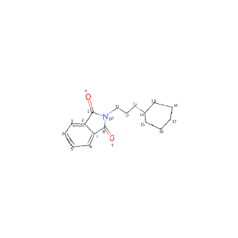 O=C1c2ccccc2C(=O)N1CCCC1CCCCC1